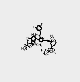 Cn1nc(NS(C)(=O)=O)c2c(Cl)ccc(-c3ccc(C#CC4(C)CN(C(=O)OC(C)(C)C)CCO4)nc3[C@@H](N)Cc3cc(F)cc(F)c3)c21